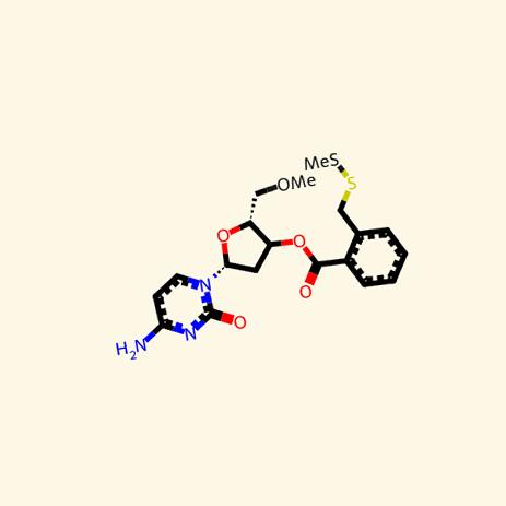 COC[C@H]1O[C@@H](n2ccc(N)nc2=O)CC1OC(=O)c1ccccc1CSSC